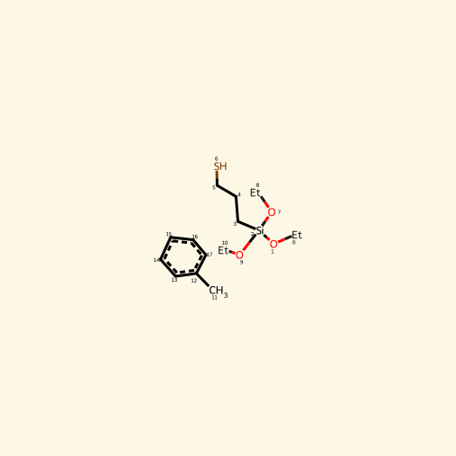 CCO[Si](CCCS)(OCC)OCC.Cc1ccccc1